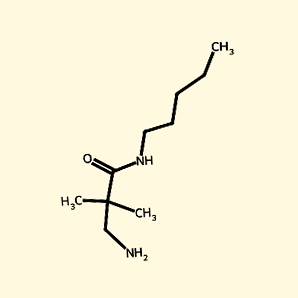 CCCCCNC(=O)C(C)(C)CN